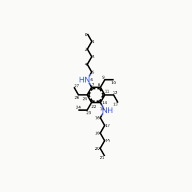 CCCCCCNc1c(CC)c(CC)c(NCCCCCC)c(CC)c1CC